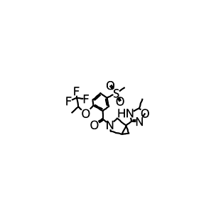 CC1NC(C23CC2CN(C(=O)c2cc(S(C)(=O)=O)ccc2OC(C)C(F)(F)F)C3)=NO1